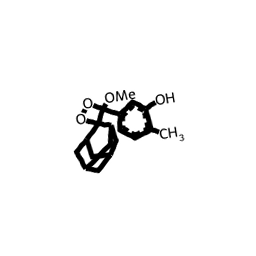 COC1(c2ccc(C)c(O)c2)OOC12C1CC3CC(C1)CC2C3